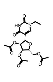 CCn1cc([C@@H]2O[C@H](COC(C)=O)[C@@H](OC(C)=O)[C@H]2OC(C)=O)c(=O)[nH]c1=O